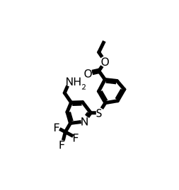 CCOC(=O)c1cccc(Sc2cc(CN)cc(C(F)(F)F)n2)c1